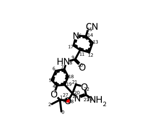 CC1(C)Oc2ccc(NC(=O)c3ccc(C#N)nc3)cc2C2(COC(N)=N2)C12COC2